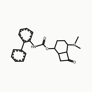 CN(C)C1CCC(OC(=O)Nc2ccccc2-c2ccccc2)C2CC(=O)C21